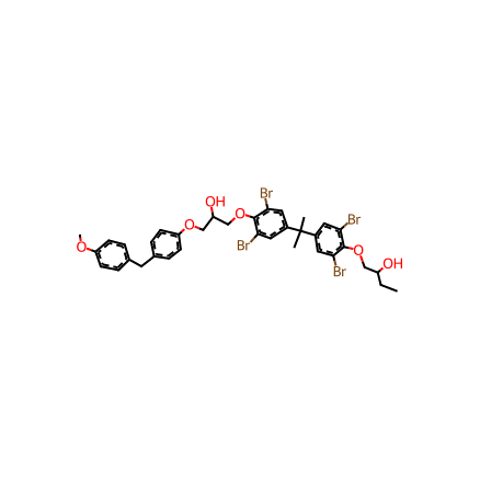 CCC(O)COc1c(Br)cc(C(C)(C)c2cc(Br)c(OCC(O)COc3ccc(Cc4ccc(OC)cc4)cc3)c(Br)c2)cc1Br